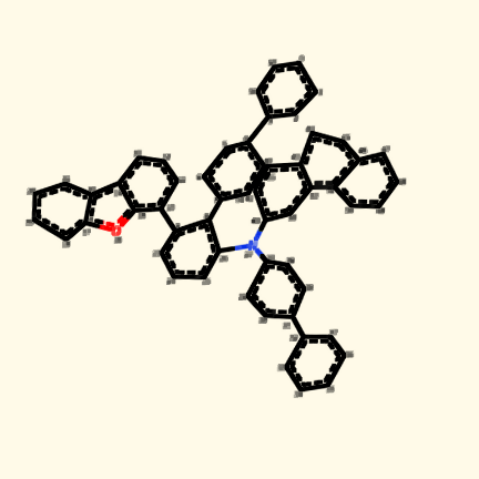 c1ccc(-c2ccc(-c3c(-c4cccc5c4oc4ccccc45)cccc3N(c3ccc(-c4ccccc4)cc3)c3ccc4ccc5ccccc5c4c3)cc2)cc1